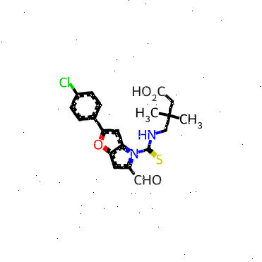 CC(C)(CNC(=S)n1c(C=O)cc2oc(-c3ccc(Cl)cc3)cc21)CC(=O)O